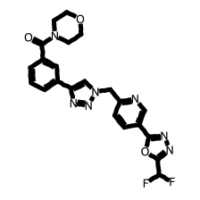 O=C(c1cccc(-c2cn(Cc3ccc(-c4nnc(C(F)F)o4)cn3)nn2)c1)N1CCOCC1